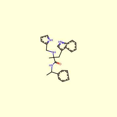 CC(NC(=O)C(C)(Cc1c[nH]c2ccccc12)NCc1ccc[nH]1)c1ccccc1